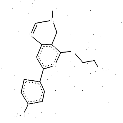 CNc1ccc(-c2cc3c(c(NCCOC)n2)CN(C)C=N3)cc1